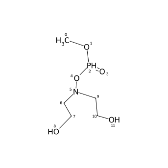 CO[PH](=O)ON(CCO)CCO